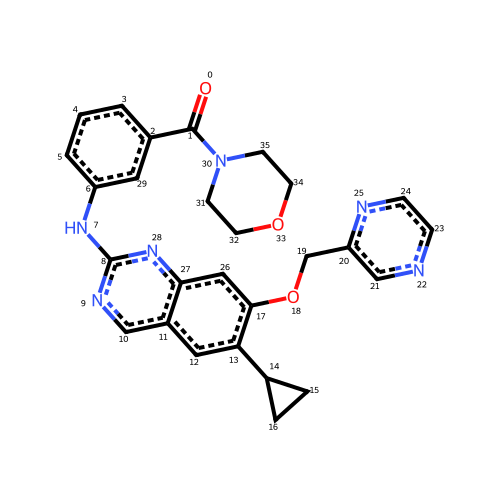 O=C(c1cccc(Nc2ncc3cc(C4CC4)c(OCc4cnccn4)cc3n2)c1)N1CCOCC1